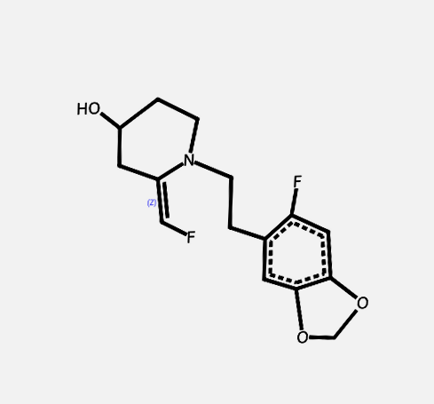 OC1CCN(CCc2cc3c(cc2F)OCO3)/C(=C\F)C1